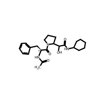 CC(=O)N[C@@H](Cc1ccccc1)C(=O)N1CCCC1C(O)C(=O)NC1CCCCC1